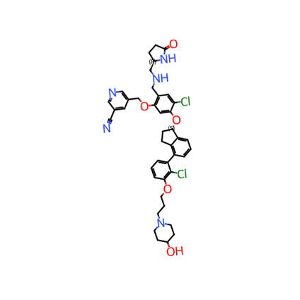 N#Cc1cncc(COc2cc(O[C@H]3CCc4c(-c5cccc(OCCCN6CCC(O)CC6)c5Cl)cccc43)c(Cl)cc2CNC[C@H]2CCC(=O)N2)c1